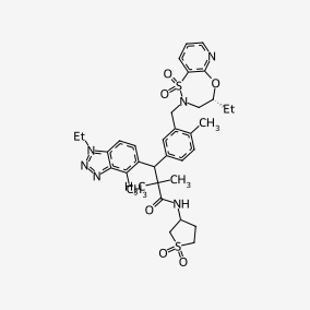 CC[C@@H]1CN(Cc2cc(C(c3ccc4c(nnn4CC)c3C)C(C)(C)C(=O)NC3CCS(=O)(=O)C3)ccc2C)S(=O)(=O)c2cccnc2O1